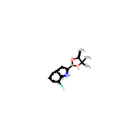 C=C1OB(c2cc3cccc(F)c3[nH]2)OC1(C)C